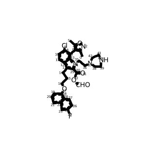 Cc1noc(C)c1-c1c(Cl)ccc2c(CCCOc3cccc4cc(F)ccc34)c(C(=O)OC=O)n(CCN3CCNCC3)c12